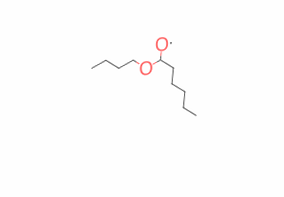 CCCCCC([O])OCCCC